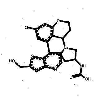 O=C(O)NC1CCN(C2CCOc3cc(Cl)cc(-c4ccnc5cc(CO)sc45)c32)C1